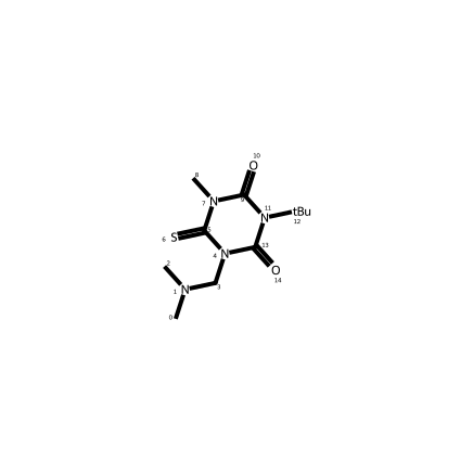 CN(C)Cn1c(=S)n(C)c(=O)n(C(C)(C)C)c1=O